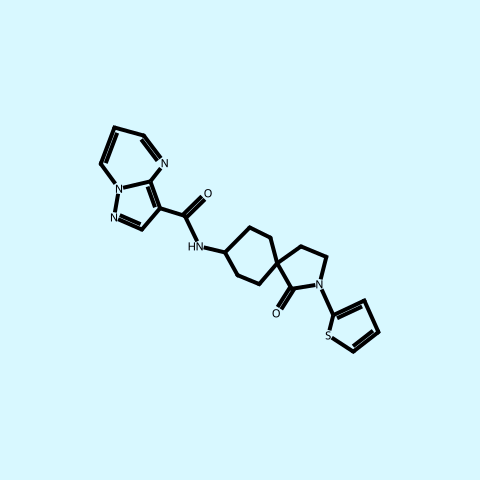 O=C(NC1CCC2(CC1)CCN(c1cccs1)C2=O)c1cnn2cccnc12